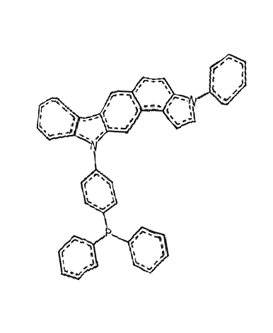 c1ccc(-n2ccc3c4cc5c(cc4ccc32)c2ccccc2n5-c2ccc(P(c3ccccc3)c3ccccc3)cc2)cc1